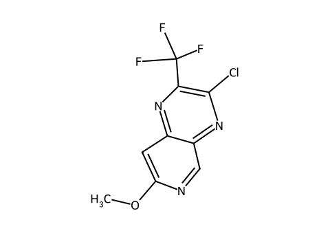 COc1cc2nc(C(F)(F)F)c(Cl)nc2cn1